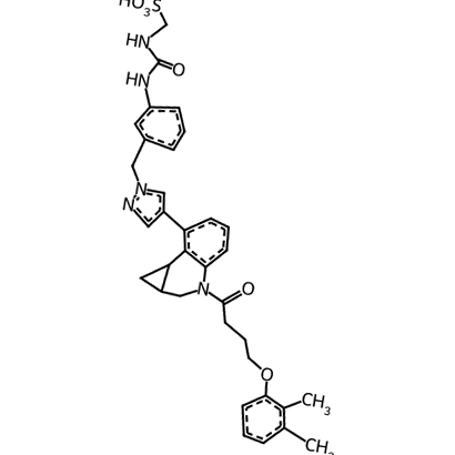 Cc1cccc(OCCCC(=O)N2CC3CC3c3c(-c4cnn(Cc5cccc(NC(=O)NCS(=O)(=O)O)c5)c4)cccc32)c1C